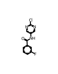 O=C(Nc1cnc(Cl)nc1)c1cccc(F)c1